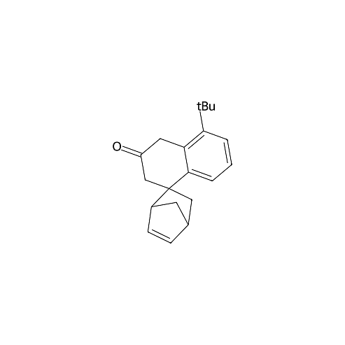 CC(C)(C)c1cccc2c1CC(=O)CC21CC2C=CC1C2